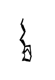 CC=CC=C1CC2C=CC1C2